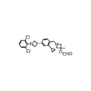 CC1(OC=O)CN(Cc2ccc(C3CN(c4c(Cl)cccc4Cl)C3)cc2C2CC2)C1